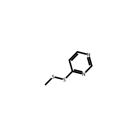 CSSc1ccncn1